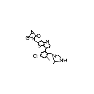 Cc1cc(Cl)cc(-c2ccnc3cc(CN4C(=O)C5CC5C4=O)sc23)c1CN1CCNCC(C)C1